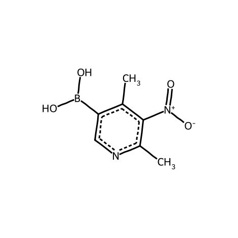 Cc1ncc(B(O)O)c(C)c1[N+](=O)[O-]